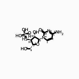 Nc1ccn([C@@H]2O[C@H](CO)[C@@H]([SH]=P(O)(O)O)[C@@H]2O)c(=O)n1